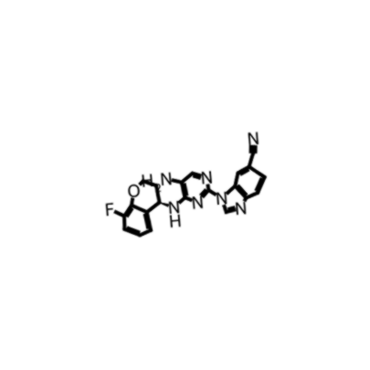 N#Cc1ccc2ncn(-c3ncc(N)c(N[C@@H]4CCOc5c(F)cccc54)n3)c2c1